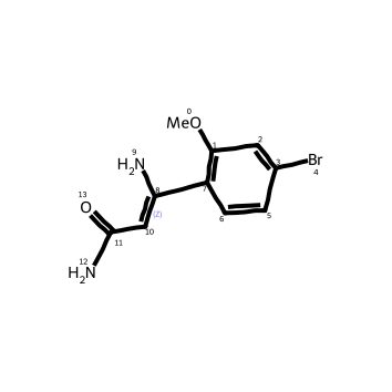 COc1cc(Br)ccc1/C(N)=C/C(N)=O